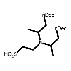 CCCCCCCCCCCC(C)N(CCS(=O)(=O)O)C(C)CCCCCCCCCCC